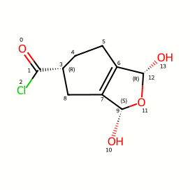 O=C(Cl)[C@@H]1CCC2=C(C1)[C@@H](O)O[C@H]2O